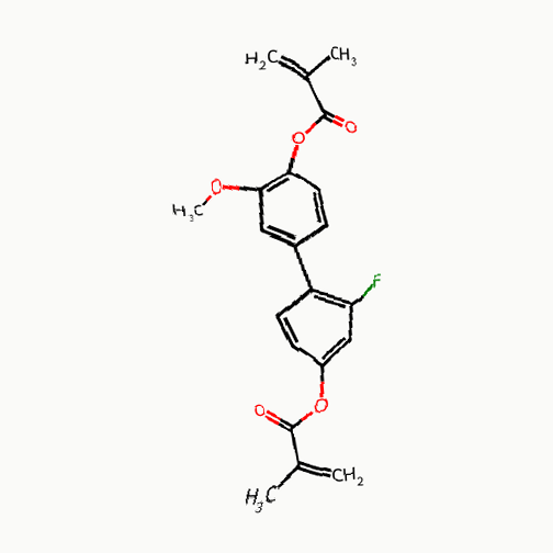 C=C(C)C(=O)Oc1ccc(-c2ccc(OC(=O)C(=C)C)c(OC)c2)c(F)c1